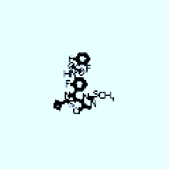 CSc1ncc(Cl)c(-c2sc(C34CC(C3)C4)nc2-c2cccc(NS(=O)(=O)c3c(F)cccc3F)c2F)n1